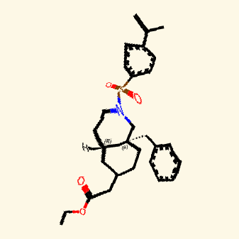 C=C(C)c1ccc(S(=O)(=O)N2CC[C@H]3CC(CC(=O)OCC)CC[C@]3(Cc3ccccc3)C2)cc1